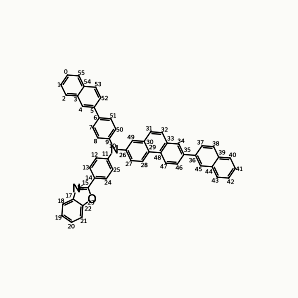 c1ccc2cc(-c3ccc(N(c4ccc(-c5nc6ccccc6o5)cc4)c4ccc5c(ccc6cc(-c7ccc8ccccc8c7)ccc65)c4)cc3)ccc2c1